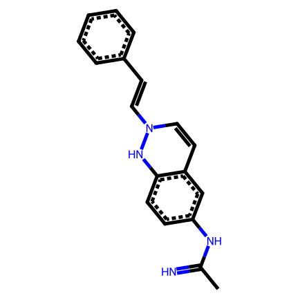 CC(=N)Nc1ccc2c(c1)C=CN(C=Cc1ccccc1)N2